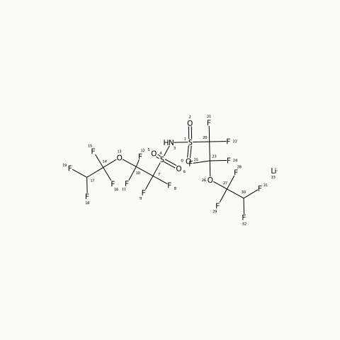 O=S(=O)(NS(=O)(=O)C(F)(F)C(F)(F)OC(F)(F)C(F)F)C(F)(F)C(F)(F)OC(F)(F)C(F)F.[Li]